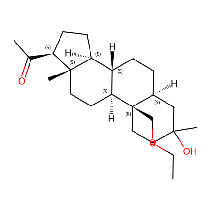 CCOC[C@]12CCC(C)(O)C[C@@H]1CC[C@H]1[C@@H]3CC[C@H](C(C)=O)[C@@]3(C)CC[C@@H]12